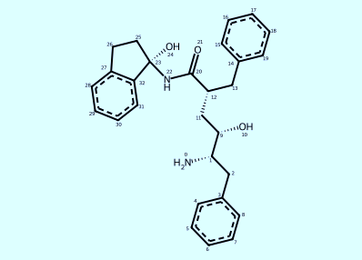 N[C@@H](Cc1ccccc1)[C@@H](O)C[C@@H](Cc1ccccc1)C(=O)N[C@]1(O)CCc2ccccc21